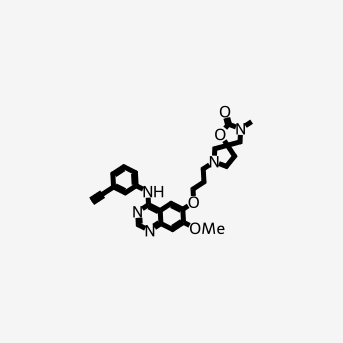 C#Cc1cccc(Nc2ncnc3cc(OC)c(OCCCN4CCC5(C4)CN(C)C(=O)O5)cc23)c1